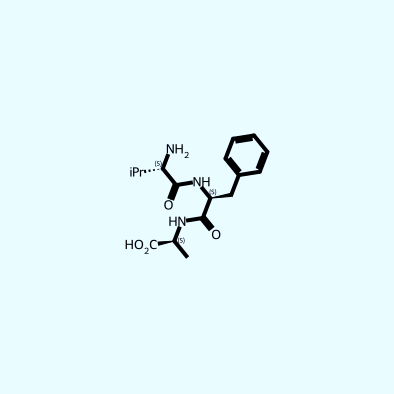 CC(C)[C@H](N)C(=O)N[C@@H](Cc1ccccc1)C(=O)N[C@@H](C)C(=O)O